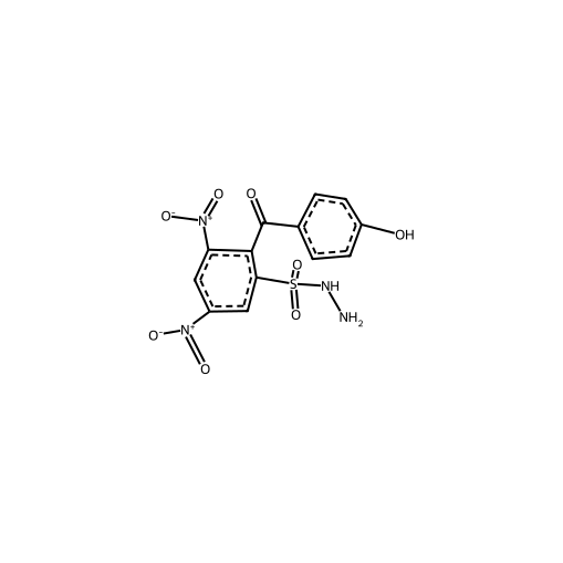 NNS(=O)(=O)c1cc([N+](=O)[O-])cc([N+](=O)[O-])c1C(=O)c1ccc(O)cc1